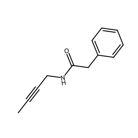 CC#CCNC(=O)Cc1ccccc1